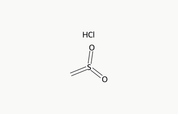 C=S(=O)=O.Cl